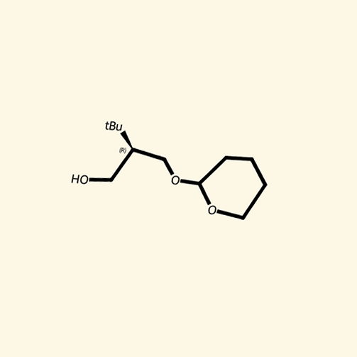 CC(C)(C)[C@H](CO)COC1CCCCO1